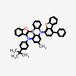 Cc1cc2c3c(c1)N(c1ccc(-c4ccccc4)c4c1sc1ccccc14)c1ccccc1B3c1oc3ccccc3c1N2c1ccc(C(C)(C)C)cc1